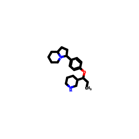 CCC(Oc1ccc(C2CCC3CCCCN32)cc1)C1CCCNC1